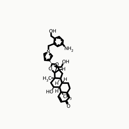 C[C@]12C=CC(=O)C=C1CC[C@@H]1[C@@H]2[C@@H](O)C[C@@]2(C)[C@H]1C[C@H]1O[C@@H](c3ccn(Cc4cc(N)ccc4CO)c3)O[C@]12C(=O)CO